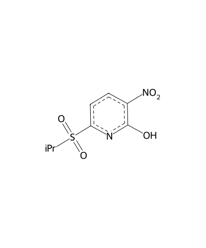 CC(C)S(=O)(=O)c1ccc([N+](=O)[O-])c(O)n1